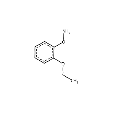 CCOc1ccccc1ON